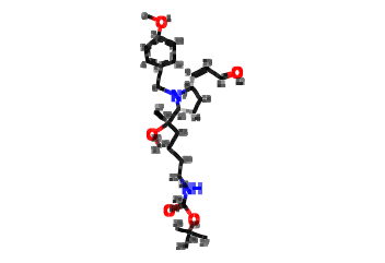 COc1ccc(CN2[C@H](/C=C\C=O)CC[C@@H]2[C@](C)(CCCCNC(=O)OC(C)(C)C)OC)cc1